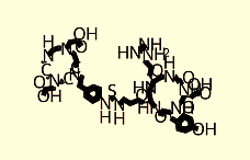 N=C(N)NCCC[C@@H]1NC(=O)[C@H](CCCCNC(=S)Nc2ccc(CCN3CCCN(CC(=O)O)CCNCCCN(CC(=O)O)CC3)cc2)NC(=O)[C@@H](Cc2ccc(O)cc2)NC(=O)[C@H](CC(=O)O)NC(=O)CNC1=O